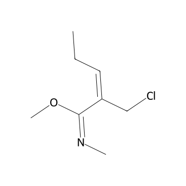 CC/C=C(CCl)\C(=N/C)OC